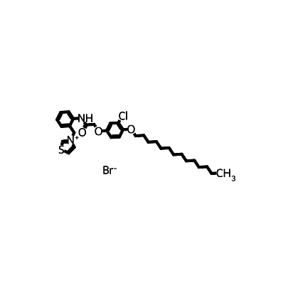 CCCCCCCCCCCCCCOc1ccc(OCC(=O)Nc2ccccc2C[n+]2ccsc2)cc1Cl.[Br-]